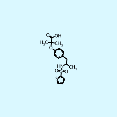 CC(Cc1ccc(OC(C)(C)C(=O)O)cc1)NS(=O)(=O)c1cccs1